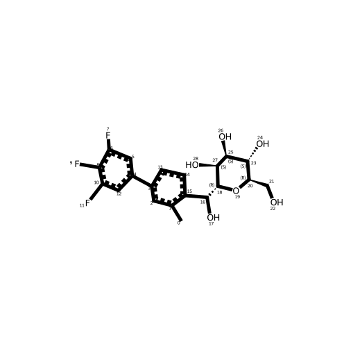 Cc1cc(-c2cc(F)c(F)c(F)c2)ccc1C(O)[C@H]1O[C@H](CO)[C@@H](O)[C@H](O)[C@@H]1O